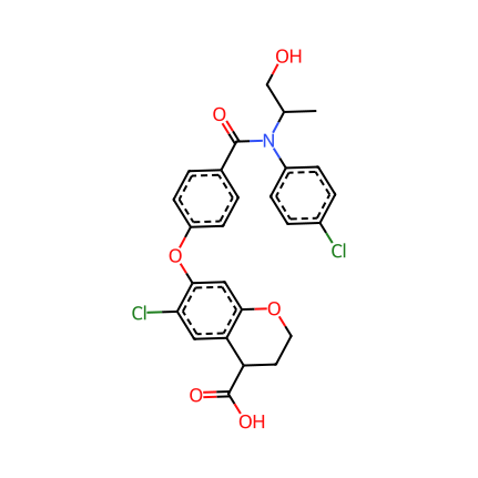 CC(CO)N(C(=O)c1ccc(Oc2cc3c(cc2Cl)C(C(=O)O)CCO3)cc1)c1ccc(Cl)cc1